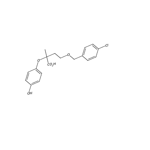 CC(CCOCc1ccc(Cl)cc1)(Oc1ccc(O)cc1)C(=O)O